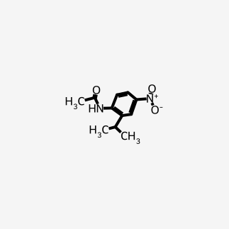 CC(=O)Nc1ccc([N+](=O)[O-])cc1C(C)C